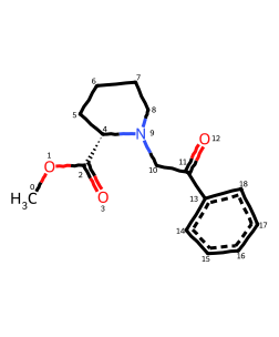 COC(=O)[C@@H]1CCCCN1CC(=O)c1ccccc1